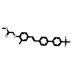 COC(=O)COc1ccc(C=Cc2ccc(-c3ccc(C(F)(F)F)cc3)cc2)cc1C